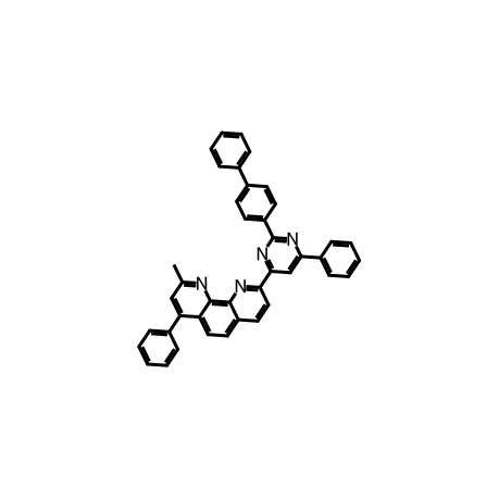 Cc1cc(-c2ccccc2)c2ccc3ccc(-c4cc(-c5ccccc5)nc(-c5ccc(-c6ccccc6)cc5)n4)nc3c2n1